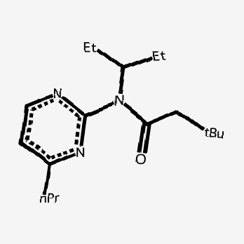 CCCc1ccnc(N(C(=O)CC(C)(C)C)C(CC)CC)n1